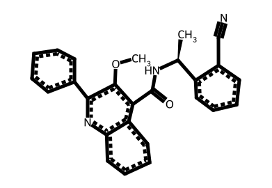 COc1c(-c2ccccc2)nc2ccccc2c1C(=O)N[C@@H](C)c1ccccc1C#N